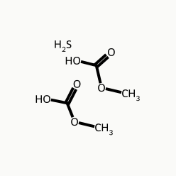 COC(=O)O.COC(=O)O.S